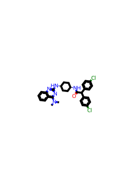 CN(C)c1nc(N[C@H]2CC[C@@H](NC(=O)C(c3ccc(Cl)cc3)c3ccc(Cl)cc3)CC2)nc2ccccc12